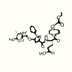 CCOC(=O)ON1CCN(C(=O)[C@H](CCC(=O)O)NC(=O)c2cc(OCC(=O)N[C@@H](C)C(=O)O)n(-c3ccccc3)n2)CC1